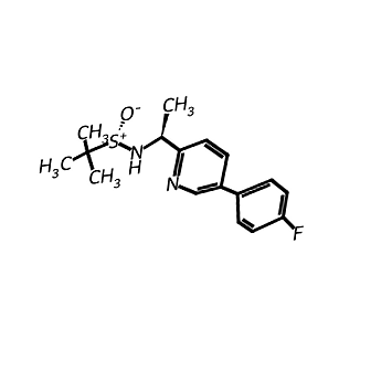 C[C@H](N[S@@+]([O-])C(C)(C)C)c1ccc(-c2ccc(F)cc2)cn1